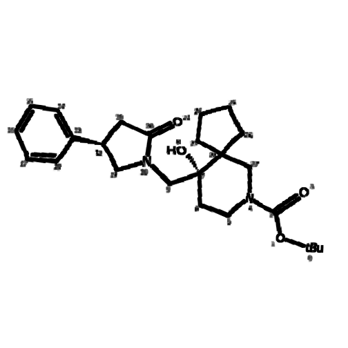 CC(C)(C)OC(=O)N1CC[C@@](O)(CN2C[C@@H](c3ccccc3)CC2=O)C2(CCCC2)C1